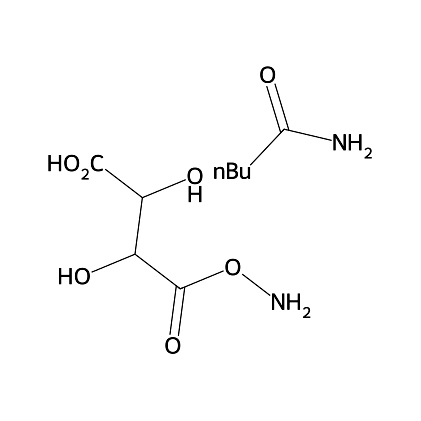 CCCCC(N)=O.NOC(=O)C(O)C(O)C(=O)O